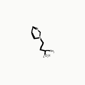 NC(CCN1C=CC=NC1)C(=O)O